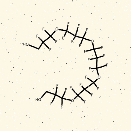 OCC(F)(F)C(F)(F)OC(F)(F)C(F)(F)C(F)(F)OC(F)(F)C(F)(F)C(F)(F)OC(F)(F)C(F)(F)C(F)(F)OC(F)(F)C(F)(F)CO